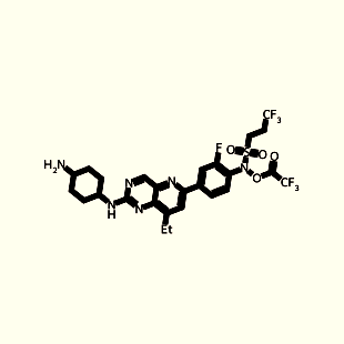 CCc1cc(-c2ccc(N(OC(=O)C(F)(F)F)S(=O)(=O)CCC(F)(F)F)c(F)c2)nc2cnc(NC3CCC(N)CC3)nc12